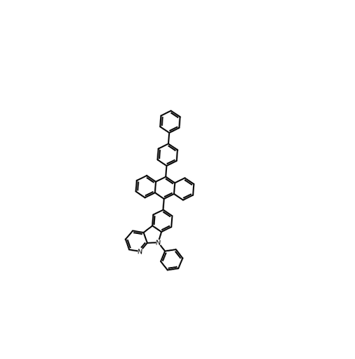 c1ccc(-c2ccc(-c3c4ccccc4c(-c4ccc5c(c4)c4cccnc4n5-c4ccccc4)c4ccccc34)cc2)cc1